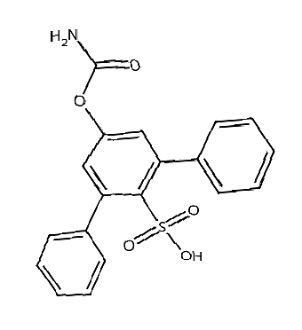 NC(=O)Oc1cc(-c2ccccc2)c(S(=O)(=O)O)c(-c2ccccc2)c1